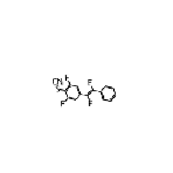 N#CSc1c(F)cc(/C(F)=C(\F)c2ccccc2)cc1F